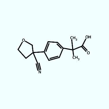 CC(C)(C(=O)O)c1ccc(C2(C#N)CCOC2)cc1